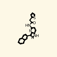 O=C(Cc1cccs1)Nc1ccc2[nH]nc(-c3ccc4ccccc4c3)c2n1